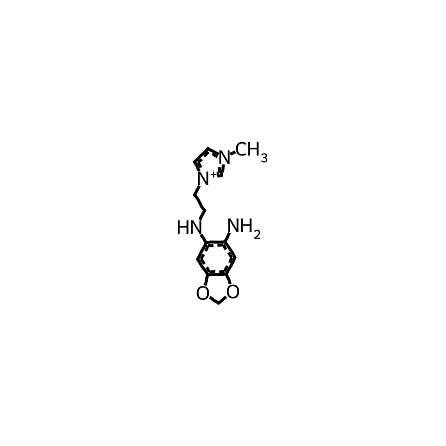 Cn1cc[n+](CCNc2cc3c(cc2N)OCO3)c1